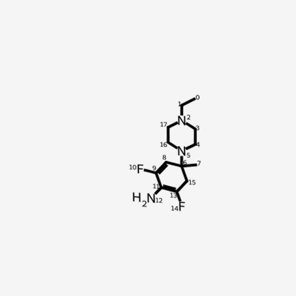 CCN1CCN(C2(C)C=C(F)C(N)=C(F)C2)CC1